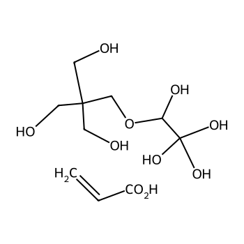 C=CC(=O)O.OCC(CO)(CO)COC(O)C(O)(O)O